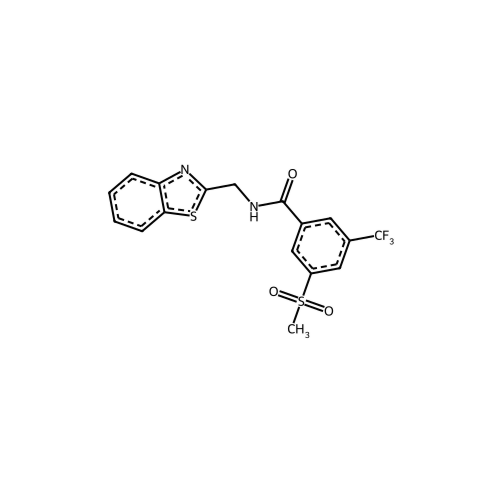 CS(=O)(=O)c1cc(C(=O)NCc2nc3ccccc3s2)cc(C(F)(F)F)c1